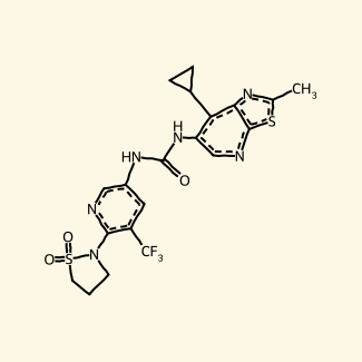 Cc1nc2c(C3CC3)c(NC(=O)Nc3cnc(N4CCCS4(=O)=O)c(C(F)(F)F)c3)cnc2s1